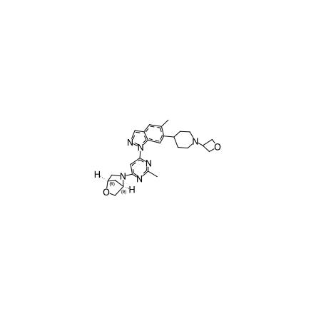 Cc1nc(N2C[C@H]3C[C@@H]2CO3)cc(-n2ncc3cc(C)c(C4CCN(C5COC5)CC4)cc32)n1